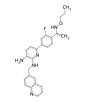 C=C(NOCCC)c1ccc(-c2ccc(N)c(NCc3ccc4ncccc4c3)n2)cc1F